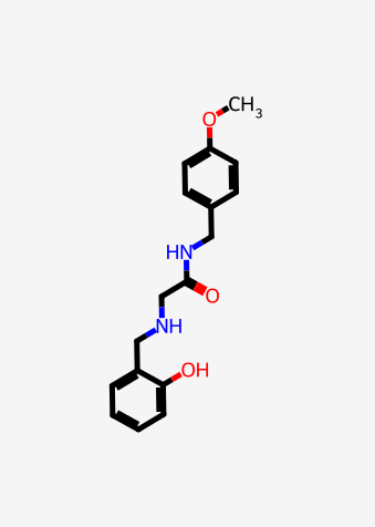 COc1ccc(CNC(=O)CNCc2ccccc2O)cc1